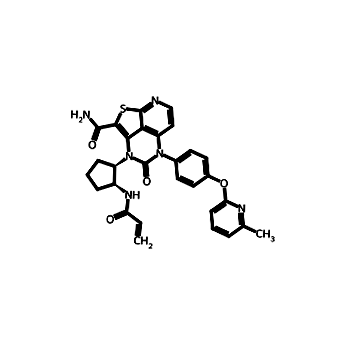 C=CC(=O)N[C@H]1CCC[C@H]1N1C(=O)N(c2ccc(Oc3cccc(C)n3)cc2)c2ccnc3sc(C(N)=O)c1c23